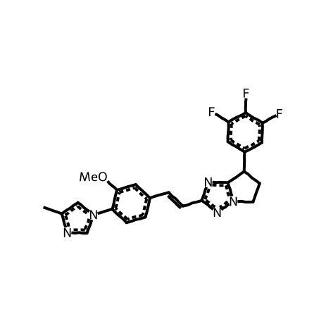 COc1cc(/C=C/c2nc3n(n2)CCC3c2cc(F)c(F)c(F)c2)ccc1-n1cnc(C)c1